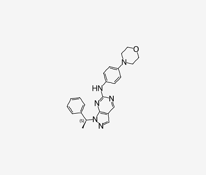 C[C@@H](c1ccccc1)n1ncc2cnc(Nc3ccc(N4CCOCC4)cc3)nc21